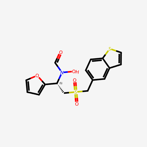 O=CN(O)[C@H](CS(=O)(=O)Cc1ccc2sccc2c1)c1ccco1